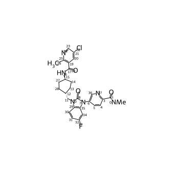 CNC(=O)c1ccc(-n2c(=O)n(C[C@H]3CC[C@H](NC(=O)c4cc(Cl)cnc4C)CC3)c3ccc(F)cc32)cn1